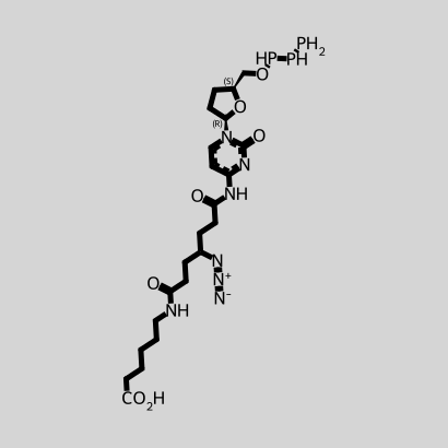 [N-]=[N+]=NC(CCC(=O)NCCCCCC(=O)O)CCC(=O)Nc1ccn([C@H]2CC[C@@H](COPPP)O2)c(=O)n1